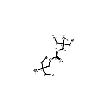 CC(CBr)(CBr)COC(=O)OCC(C)(CBr)CBr